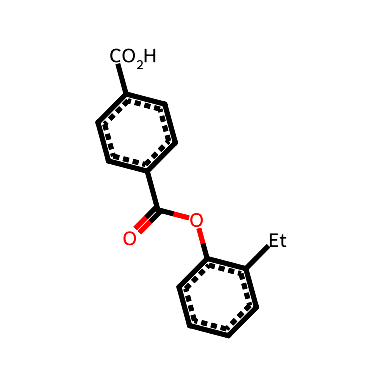 CCc1ccccc1OC(=O)c1ccc(C(=O)O)cc1